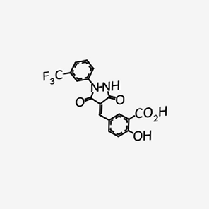 O=C1NN(c2cccc(C(F)(F)F)c2)C(=O)/C1=C/c1ccc(O)c(C(=O)O)c1